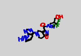 O=C(NCC(CO)C(F)(F)F)c1noc2c1CN(c1ncnc3[nH]ccc13)CC2